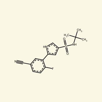 CC(C)(C)NS(=O)(=O)c1c[nH]c(-c2cc(C#N)ccc2F)c1